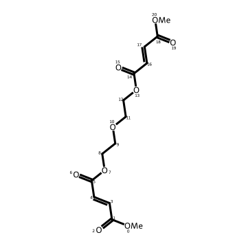 COC(=O)C=CC(=O)OCCOCCOC(=O)C=CC(=O)OC